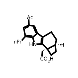 CCCc1cc(C(C)=O)cc2c3c([nH]c12)[C@]1(CC(=O)O)CC[C@@H]1CC3